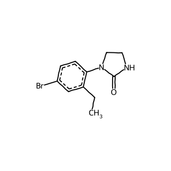 CCc1cc(Br)ccc1N1CCNC1=O